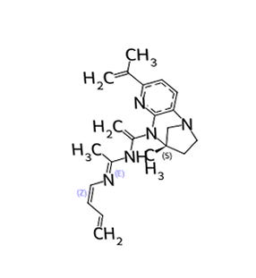 C=C/C=C\N=C(/C)NC(=C)N1c2nc(C(=C)C)ccc2N2CC[C@@]1(C)C2